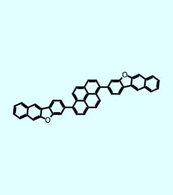 c1ccc2cc3c(cc2c1)oc1cc(-c2ccc4ccc5c(-c6ccc7c(c6)oc6cc8ccccc8cc67)ccc6ccc2c4c65)ccc13